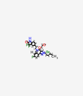 C/C=C(Br)\C=C/Cn1cc(C(OCC=O)N(C)CCc2ccc3c(c2)C(F)(F)C(=O)N3)c(C2=CCC(F)C=C2)n1